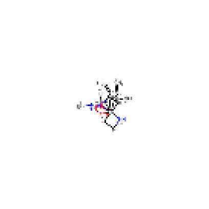 [CH2]CN[O][Ti]12(=[O])([OH])([CH2]C=C)([CH2]C=C)([CH2]C(C)(C)C)([O]CC)([CH2]C[NH]1)[CH2]C[NH]2